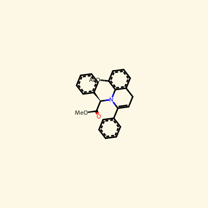 COC(=O)[C@@H](c1ccccc1)N1C(c2ccccc2)=CCc2cccc(OC(C)=O)c21